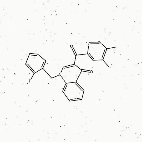 Cc1cc(C(=O)c2cn(Cc3ccccc3F)c3ccccc3c2=O)cnc1C